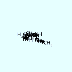 CC1=C(C(=O)Nc2ccc3[nH]nc(-c4ccnc(N5CC6(CN(C)C6)C5)c4)c3c2)[C@H](C)n2nnnc2N1C